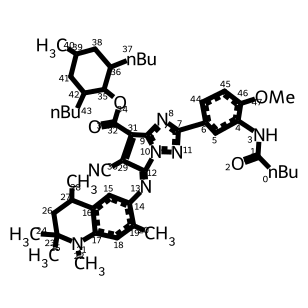 CCCCC(=O)Nc1cc(-c2nc3n(n2)/C(=N/c2cc4c(cc2C)N(C)C(C)(C)CC4C)C(C#N)=C3C(=O)OC2C(CCCC)CC(C)CC2CCCC)ccc1OC